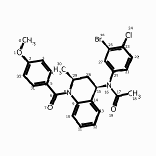 COc1ccc(C(=O)N2c3ccccc3[C@H](N(C(C)=O)c3ccc(Cl)c(Br)c3)C[C@@H]2C)cc1